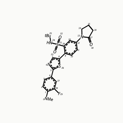 CNc1ccc(-c2ncc(-c3ccc(N4CCCC4=O)cc3S(=O)(=O)NC(C)(C)C)s2)cc1F